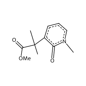 COC(=O)C(C)(C)c1cccn(C)c1=O